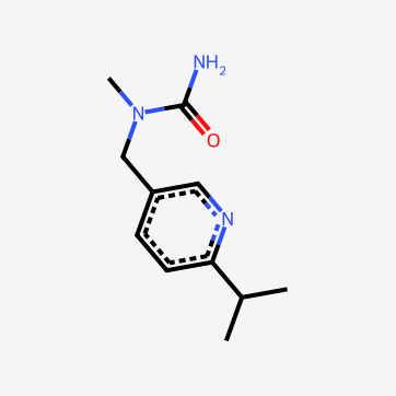 CC(C)c1ccc(CN(C)C(N)=O)cn1